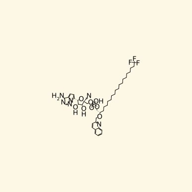 N#C[C@]1(COP(=O)(O)OC[C@H](CCCCCCCCCCCCCCCCCC(F)(F)F)OCc2ccc3ccccc3n2)O[C@@H](c2ccc3c(N)ncnn23)[C@H](O)[C@@H]1O